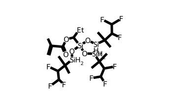 C=C(C)C(=O)OC(CC)[Si](O[SiH2]C(C)(C)C(F)C(F)F)(O[SiH2]C(C)(C)C(F)C(F)F)O[SiH2]C(C)(C)C(F)C(F)F